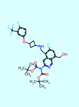 CC(C)(C)OC(=O)N(C(=O)OC(C)(C)C)c1cc2c(CNC3CC(Oc4ccc(F)c(C(F)(F)F)c4)C3)c(F)cc(CO)c2cn1